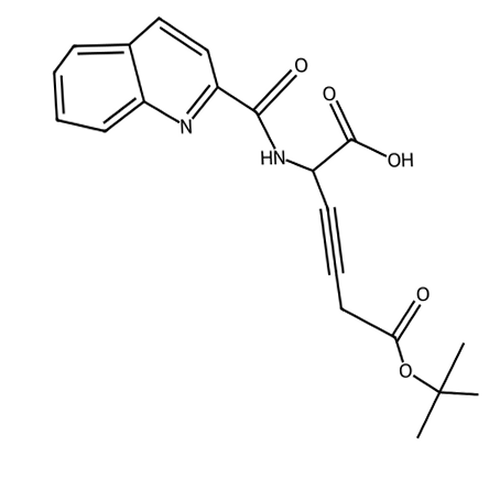 CC(C)(C)OC(=O)CC#CC(NC(=O)c1ccc2ccccc2n1)C(=O)O